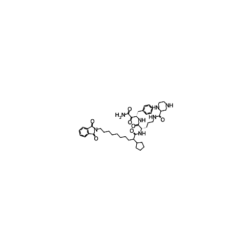 NC(=O)C(=O)[C@H](Cc1ccccc1)NC(=O)[C@H](CCCNC(=O)C1CNCCN1)NC(=O)C(CCCCCCCCN1C(=O)c2ccccc2C1=O)C1CCCC1